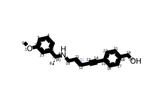 COc1cccc([C@@H](C)NC/C=C/C#Cc2ccc(CO)cc2)c1